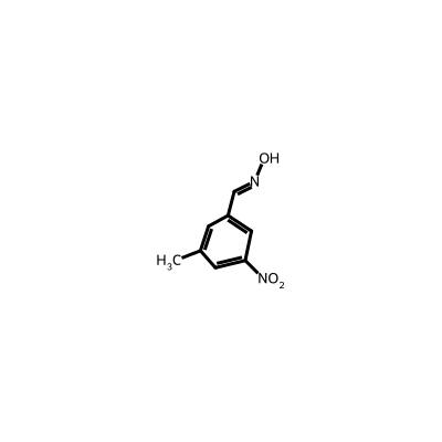 Cc1cc(C=NO)cc([N+](=O)[O-])c1